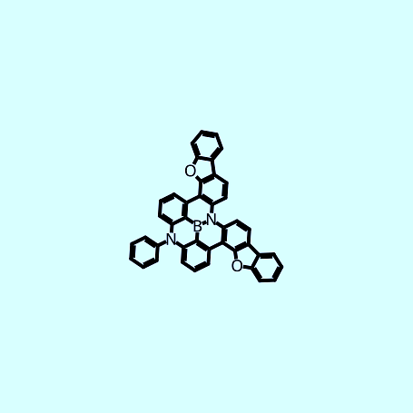 c1ccc(N2c3cccc4c3B3c5c(cccc52)-c2c(ccc5c2oc2ccccc25)N3c2ccc3c(oc5ccccc53)c2-4)cc1